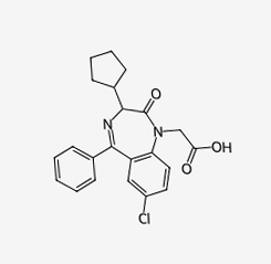 O=C(O)CN1C(=O)C(C2CCCC2)N=C(c2ccccc2)c2cc(Cl)ccc21